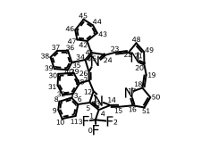 FC(F)(F)C1=C(c2ccccc2)C2=NC1=CC1=NC(=CC3=NC(=CC4=NC(=C2c2ccccc2)C(c2ccccc2)=C4c2ccccc2)C=C3)C=C1